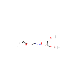 C=CC(=O)OCCNC(=O)OC(COC)COC